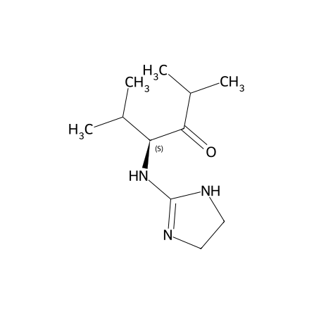 CC(C)C(=O)[C@@H](NC1=NCCN1)C(C)C